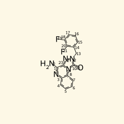 Nc1nc2ccccc2n2c(=O)n(Cc3cccc(F)c3F)nc12